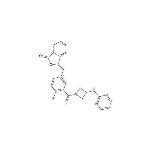 O=C1O/C(=C\c2ccc(F)c(C(=O)N3CC(Nc4ncccn4)C3)c2)c2ccccc21